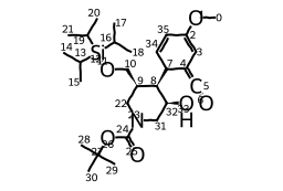 COC1=CC(=C=O)C([C@@H]2[C@H](CO[Si](C(C)C)(C(C)C)C(C)C)CN(C(=O)OC(C)(C)C)C[C@@H]2O)C=C1